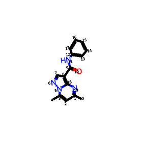 Cc1cc(C)n2ncc(C(=O)Nc3ccccc3)c2n1